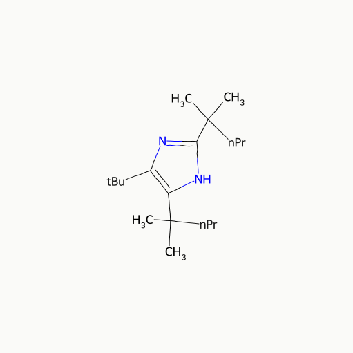 CCCC(C)(C)c1nc(C(C)(C)C)c(C(C)(C)CCC)[nH]1